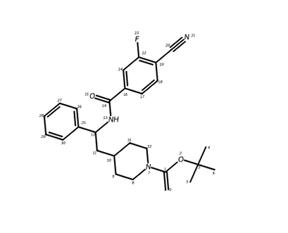 C=C(OC(C)(C)C)N1CCC(CC(NC(=O)c2ccc(C#N)c(F)c2)c2ccccc2)CC1